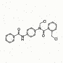 O=C(Nc1ccc(N(CCl)C(=O)c2ccccc2CCl)cc1)c1ccccc1